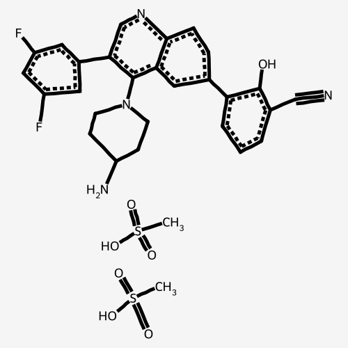 CS(=O)(=O)O.CS(=O)(=O)O.N#Cc1cccc(-c2ccc3ncc(-c4cc(F)cc(F)c4)c(N4CCC(N)CC4)c3c2)c1O